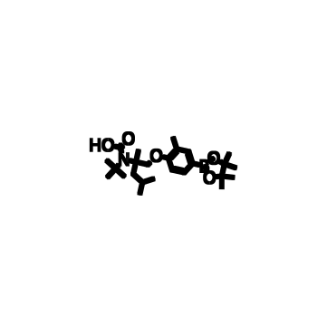 Cc1cc(B2OC(C)(C)C(C)(C)O2)ccc1OCC(C)(CC(C)C)N(C(=O)O)C(C)(C)C